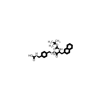 CC(C)(C)OC(=O)NC(Cc1ccc2ccccc2c1)C(=O)NOCc1ccc(CNC(=O)O)cc1